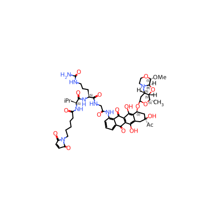 CO[C@H]1OCCN2[C@@H]1O[C@@H]1[C@H](C)OC(O[C@H]3C[C@](O)(C(C)=O)Cc4c(O)c5c(c(O)c43)C(=O)c3c(NC(=O)CNC(=O)[C@H](CCCNC(N)=O)NC(=O)[C@@H](NC(=O)CCCCCN4C(=O)C=CC4=O)C(C)C)cccc3C5=O)C[C@@H]12